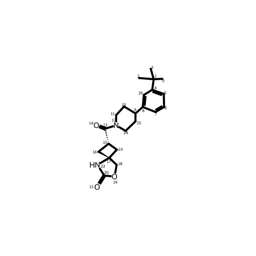 CC(C)(C)c1cccc(C2CCN(C(=O)[C@H]3C[C@]4(COC(=O)N4)C3)CC2)c1